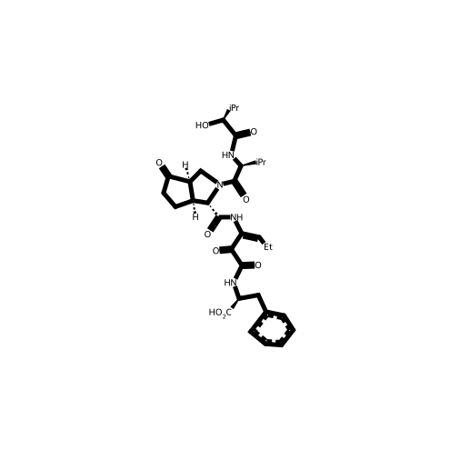 CC/C=C(/NC(=O)[C@@H]1[C@H]2CCC(=O)[C@H]2CN1C(=O)[C@@H](NC(=O)[C@@H](O)C(C)C)C(C)C)C(=O)C(=O)N[C@@H](Cc1ccccc1)C(=O)O